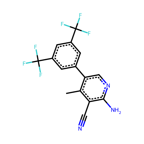 Cc1c(-c2cc(C(F)(F)F)cc(C(F)(F)F)c2)cnc(N)c1C#N